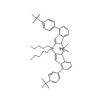 CCCCC[Si]1(CCCCC)C2=Cc3c(-c4ccc(C(C)(C)C)cc4)cccc3[CH]2[Hf]([CH3])([CH3])[CH]2C1=Cc1c(-c3ccc(C(C)(C)C)cc3)cccc12